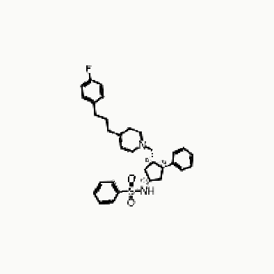 O=S(=O)(N[C@@H]1C[C@H](CN2CCC(CCCc3ccc(F)cc3)CC2)[C@@H](c2ccccc2)C1)c1ccccc1